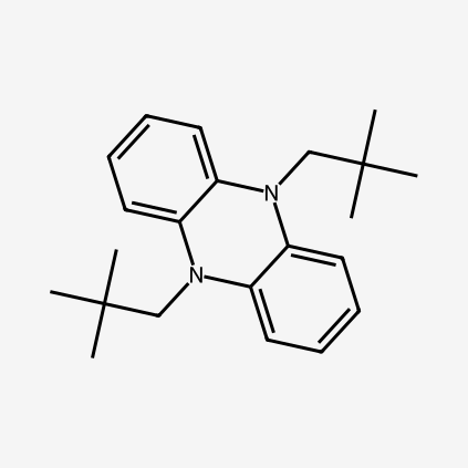 CC(C)(C)CN1c2ccccc2N(CC(C)(C)C)c2ccccc21